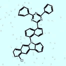 ClC1=c2cc3c4ccccc4n(-c4cccc5c(-c6nc(-c7ccccc7)nc(-c7ccccc7)n6)cccc45)c3cc2=CCC1